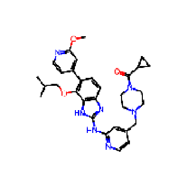 COc1cc(-c2ccc3nc(Nc4cc(CN5CCN(C(=O)C6CC6)CC5)ccn4)[nH]c3c2OCC(C)C)ccn1